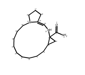 NC(=O)C12CC1CCCCCCCCCN1CCCC1=CN2